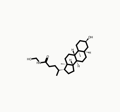 CC(CCC(=O)NCO)[C@H]1CC[C@H]2[C@@H]3CC[C@@H]4C[C@H](O)CC[C@]4(C)[C@H]3CC[C@]12C